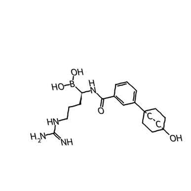 N=C(N)NCCC[C@H](NC(=O)c1cccc(C23CCC(O)(CC2)CC3)c1)B(O)O